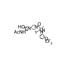 CC(=O)N[C@H]1CN(C2CCN(C(=O)c3c(C)nn(-c4cccc(OC(F)(F)F)c4)c3C3CC3)CC2)C[C@@H]1O